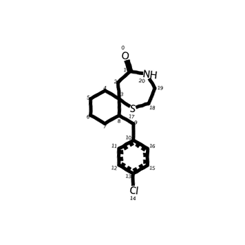 O=C1CC2(CCCCC2Cc2ccc(Cl)cc2)SCCN1